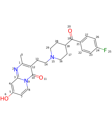 Cc1nc2cc(O)ccn2c(=O)c1CCN1CCC(C(=O)c2ccc(F)cc2)CC1